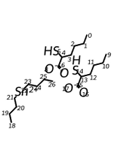 CCCCC(S)C(=O)[O-].CCCCC(S)C(=O)[O-].CCC[CH2][Sn+2][CH2]CCC